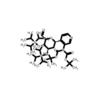 CC(C)[Si](O[C@@H]1[C@@H](C=O)O[C@@H](c2ccncc2N(C(=O)OC(C)(C)C)C(=O)OC(C)(C)C)C[C@H]1O[Si](C(C)C)(C(C)C)C(C)C)(C(C)C)C(C)C